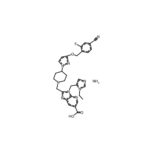 CCn1cncc1Cn1c(CN2CCC(n3ccc(OCc4ccc(C#N)cc4F)n3)CC2)nc2cc(C(=O)O)cnc21.N